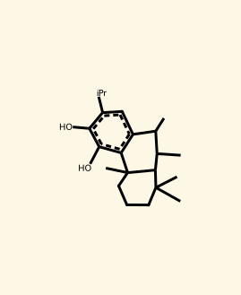 CC(C)c1cc2c(c(O)c1O)C1(C)CCCC(C)(C)C1C(C)C2C